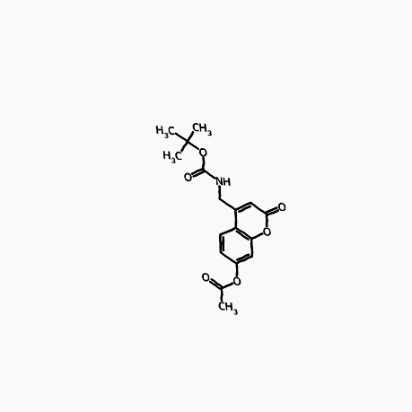 CC(=O)Oc1ccc2c(CNC(=O)OC(C)(C)C)cc(=O)oc2c1